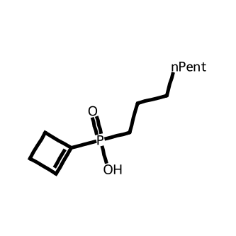 CCCCCCCCP(=O)(O)C1=CCC1